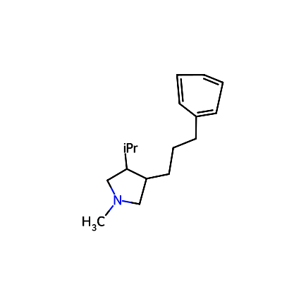 CC(C)C1CN(C)CC1CCCc1ccccc1